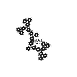 CCCCCCCCC1(CCCCCCCC)c2cc(N(c3ccccc3)c3ccc(-c4ccc(N(c5ccc(-c6ccccc6-c6ccccc6)cc5)c5ccc(-c6ccccc6-c6ccccc6)cc5)cc4)cc3)ccc2-c2ccc(N(c3ccccc3)c3ccc(-c4ccc(N(c5ccc(-c6ccccc6-c6ccccc6)cc5)c5ccc(-c6ccccc6-c6ccccc6)cc5)cc4)cc3)cc21